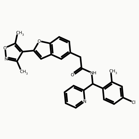 Cc1cc(Cl)ccc1C(NC(=O)Cc1ccc2oc(-c3c(C)noc3C)cc2c1)c1ccccn1